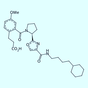 COc1ccc(CCC(=O)O)c(C(=O)N2CCC[C@H]2c2nc(C(=O)NCCCCC3CCCCC3)co2)c1